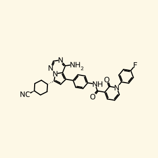 N#C[C@H]1CC[C@H](c2cc(-c3ccc(NC(=O)c4cccn(-c5ccc(F)cc5)c4=O)cc3)c3c(N)ncnn32)CC1